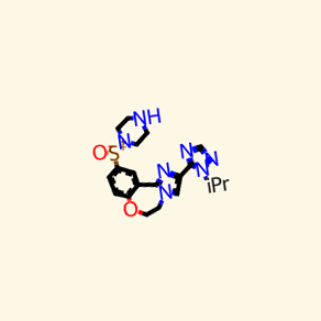 CC(C)n1ncnc1-c1cn2c(n1)-c1cc([S+]([O-])N3CCNCC3)ccc1OCC2